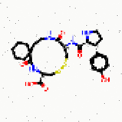 O=C(O)[C@@H]1CSSC[C@H](NC(=O)[C@H]2NCC[C@@H]2c2ccc(O)cc2)C(=O)NCCC2(CCCCC2)C(=O)N1